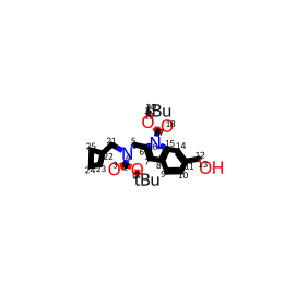 CC(C)(C)OC(=O)N(Cc1cc2ccc(CO)cc2n1C(=O)OC(C)(C)C)CC1CCC1